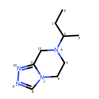 CCC(C)N1CCn2cnnc2C1